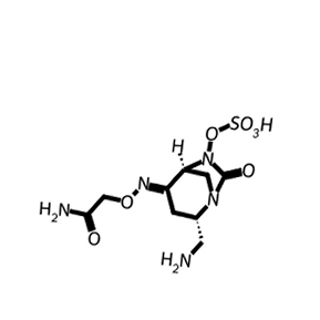 NC[C@@H]1CC(=NOCC(N)=O)[C@@H]2CN1C(=O)N2OS(=O)(=O)O